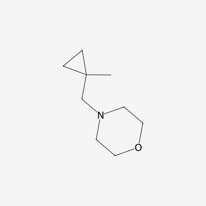 CC1(CN2CCOCC2)CC1